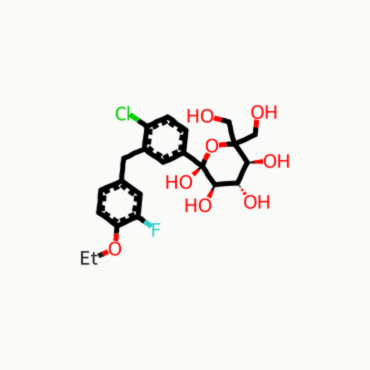 CCOc1ccc(Cc2cc([C@]3(O)OC(CO)(CO)[C@@H](O)[C@H](O)[C@H]3O)ccc2Cl)cc1F